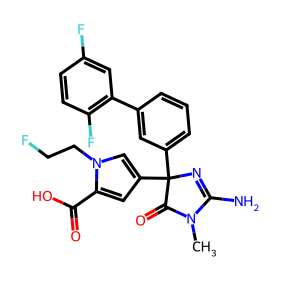 CN1C(=O)C(c2cccc(-c3cc(F)ccc3F)c2)(c2cc(C(=O)O)n(CCF)c2)N=C1N